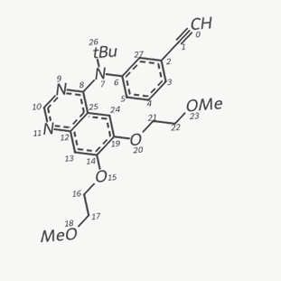 C#Cc1cccc(N(c2ncnc3cc(OCCOC)c(OCCOC)cc23)C(C)(C)C)c1